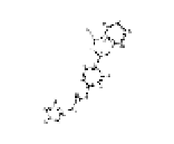 CC(CC(C)c1ccc(COCc2ccco2)cc1)c1ccccc1